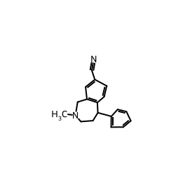 CN1CCC(c2ccccc2)c2ccc(C#N)cc2C1